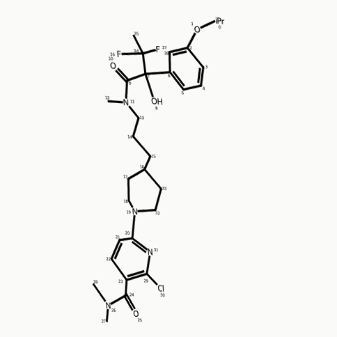 CC(C)Oc1cccc(C(O)(C(=O)N(C)CCCC2CCN(c3ccc(C(=O)N(C)C)c(Cl)n3)CC2)C(C)(F)F)c1